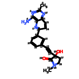 Cc1nc(N)c2nc(-c3cccc(C#C[C@]4(O)CCN(C)C4=O)c3)ccc2n1